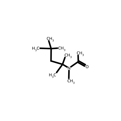 CC(=O)N(C)C(C)(C)CC(C)(C)C